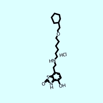 Cl.O=c1[nH]c2c(O)ccc(CCNCCCCCCOCCC3CCCCC3)c2s1